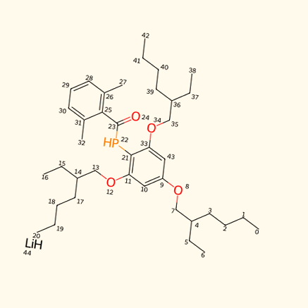 CCCCC(CC)COc1cc(OCC(CC)CCCC)c(PC(=O)c2c(C)cccc2C)c(OCC(CC)CCCC)c1.[LiH]